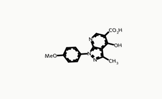 COc1ccc(-n2nc(C)c3c(O)c(C(=O)O)cnc32)cc1